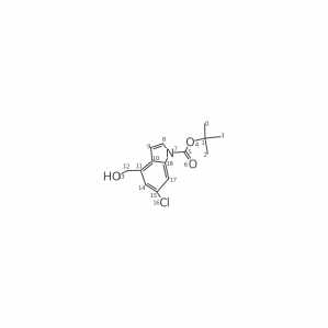 CC(C)(C)OC(=O)n1ccc2c(CO)cc(Cl)cc21